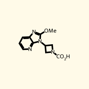 COc1nc2cccnc2n1C1CN(C(=O)O)C1